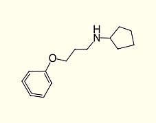 C1=C=CC(OCCCNC2CCCC2)=CC=1